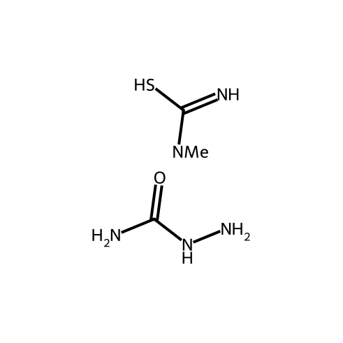 CNC(=N)S.NNC(N)=O